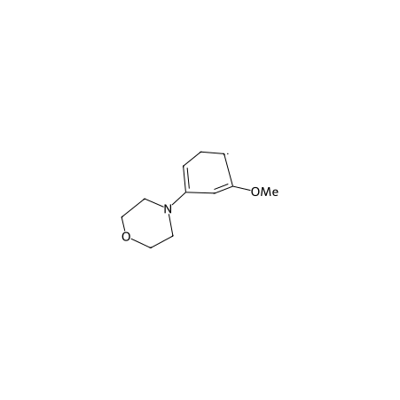 COC1=CC(N2CCOCC2)=CC[CH]1